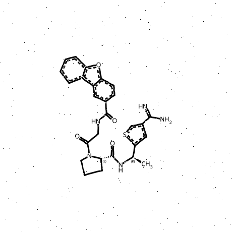 C[C@@H](NC(=O)[C@@H]1CCCN1C(=O)CNC(=O)c1ccc2oc3ccccc3c2c1)c1cc(C(=N)N)cs1